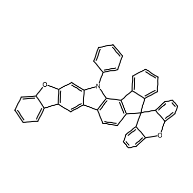 c1ccc(-n2c3cc4oc5ccccc5c4cc3c3ccc4c(c32)-c2ccccc2C42c3ccccc3Oc3ccccc32)cc1